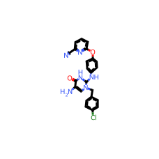 N#Cc1cccc(Oc2ccc(NC3NC(=O)C(N)=CN3Cc3ccc(Cl)cc3)cc2)n1